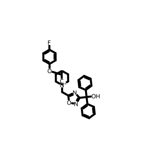 OC(c1ccccc1)(c1ccccc1)c1noc(C[N+]23CCC(CC2)C(Oc2ccc(F)cc2)C3)n1